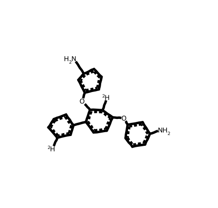 [2H]c1cccc(-c2ccc(Oc3cccc(N)c3)c([2H])c2Oc2cccc(N)c2)c1